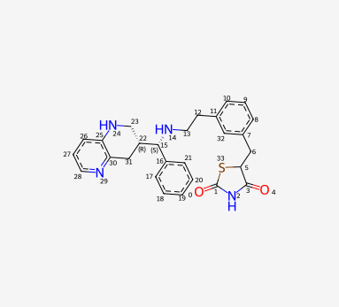 O=C1NC(=O)C(Cc2cccc(CCN[C@H](c3ccccc3)[C@H]3CNc4cccnc4C3)c2)S1